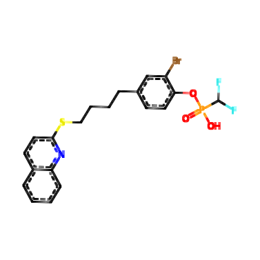 O=P(O)(Oc1ccc(CCCCSc2ccc3ccccc3n2)cc1Br)C(F)F